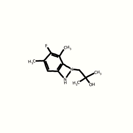 Cc1cc2[nH]n(CC(C)(C)O)c2c(C)c1F